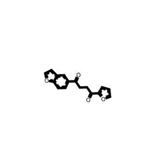 O=C(CCC(=O)c1ccco1)c1ccc2occc2c1